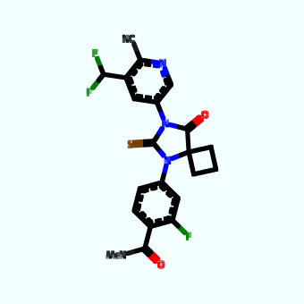 CNC(=O)c1ccc(N2C(=S)N(c3cnc(C#N)c(C(F)F)c3)C(=O)C23CCC3)cc1F